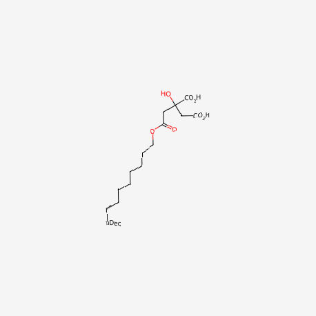 CCCCCCCCCCCCCCCCCCOC(=O)CC(O)(CC(=O)O)C(=O)O